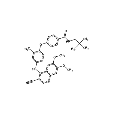 COc1cc2ncc(C#N)c(Nc3ccc(Oc4ccc(C(=O)NCC(C)(C)C)cc4)c(C)c3)c2cc1OC